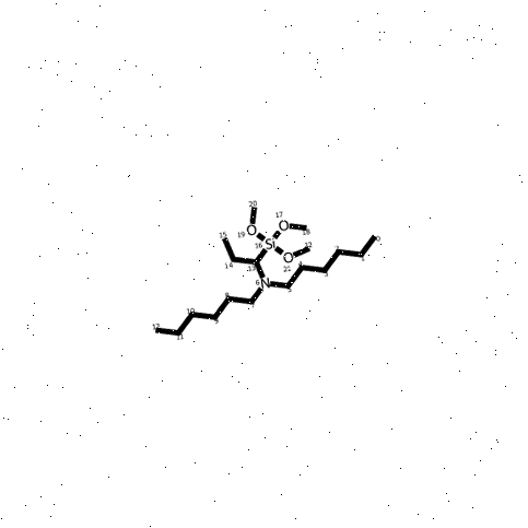 CCCCCCN(CCCCCC)C(CC)[Si](OC)(OC)OC